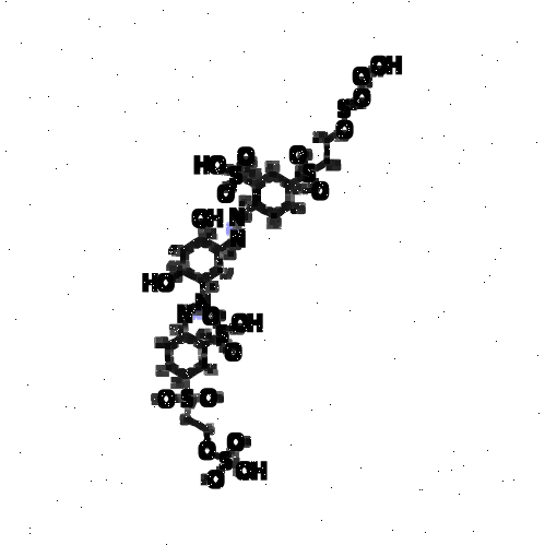 O=S(=O)(O)OCCS(=O)(=O)c1ccc(/N=N/c2cc(/N=N/c3ccc(S(=O)(=O)CCOSOOO)cc3S(=O)(=O)O)c(O)cc2O)c(S(=O)(=O)O)c1